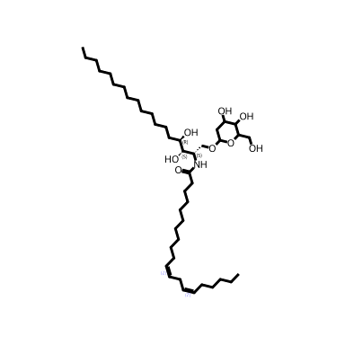 CCCCC/C=C\C/C=C\CCCCCCCCCC(=O)N[C@@H](COC1CC(O)C(O)C(CO)O1)[C@H](O)[C@H](O)CCCCCCCCCCCCCC